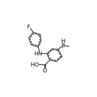 CBc1ccc(C(=O)O)c(Nc2ccc(F)cc2)c1